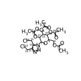 CC(=O)OCC1OC(n2nnc(CCl)c2CCl)C(OC(C)=O)C(OC(C)=O)C1OC(C)=O